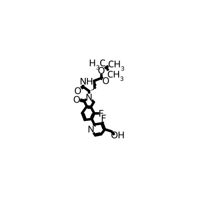 CC(C)(C)OC(=O)CC[C@@H](C(N)=O)N1Cc2c(ccc(-c3nccc(CO)c3F)c2F)C1=O